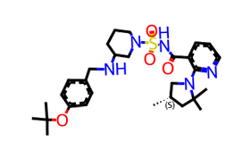 C[C@@H]1CN(c2ncccc2C(=O)NS(=O)(=O)N2CCCC(NCc3ccc(OC(C)(C)C)cc3)C2)C(C)(C)C1